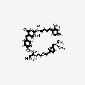 CN/C(=C/[N+](=O)[O-])NCCSCc1ccc(CN(C)C)o1.Cc1ccc(Cc2c[nH]c(NCCCCc3ncc(Br)cc3C)nc2=O)cn1